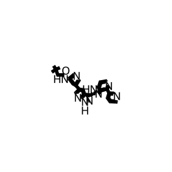 CC(C)(C)CC(=O)Nc1cncc(-c2cnc3[nH]nc(-c4nc5c(-c6cccnc6)nccc5[nH]4)c3c2)c1